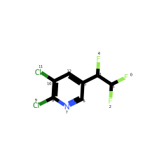 FC(F)C(F)c1cnc(Cl)c(Cl)c1